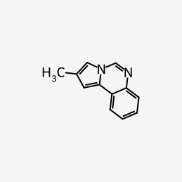 Cc1cc2c3ccccc3ncn2c1